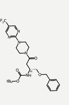 CC(C)(C)OC(=O)N[C@@H](COCc1ccccc1)CC(=O)N1CCN(c2ncc(C(F)(F)F)cn2)CC1